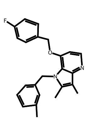 Cc1cccc(Cn2c(C)c(C)c3nccc(OCc4ccc(F)cc4)c32)c1